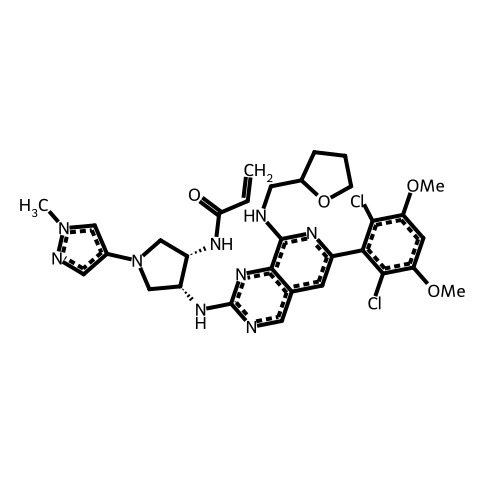 C=CC(=O)N[C@H]1CN(c2cnn(C)c2)C[C@H]1Nc1ncc2cc(-c3c(Cl)c(OC)cc(OC)c3Cl)nc(NCC3CCCO3)c2n1